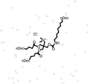 CCCCCCCCCCCCCCCCCCNC(=O)OCC(COC(=O)CCCCCCCCCCCCC)(COC(=O)CCCCCCCCCCCCC)C[N+](C)(C)C.[Cl-]